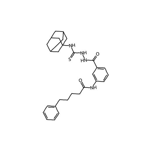 O=C(CCCCc1ccccc1)Nc1cccc(C(=O)NNC(=S)NC23CC4CC(CC(C4)C2)C3)c1